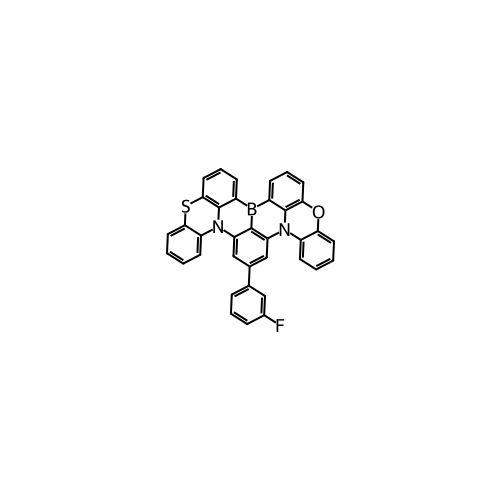 Fc1cccc(-c2cc3c4c(c2)N2c5ccccc5Sc5cccc(c52)B4c2cccc4c2N3c2ccccc2O4)c1